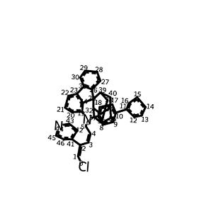 Cl/C=C(\C=C/CN(c1ccc(-c2ccccc2)cc1)c1cccc2c1C1(c3ccccc3-2)C2CC3CC(C2)CC1C3)c1ccncc1